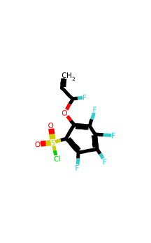 C=CC(F)Oc1c(F)c(F)c(F)c(F)c1S(=O)(=O)Cl